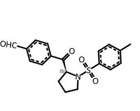 Cc1ccc(S(=O)(=O)N2CCC[C@H]2C(=O)c2ccc(C=O)cc2)cc1